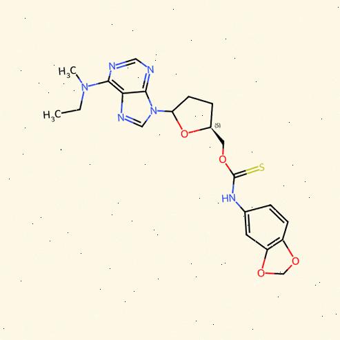 CCN(C)c1ncnc2c1ncn2C1CC[C@@H](COC(=S)Nc2ccc3c(c2)OCO3)O1